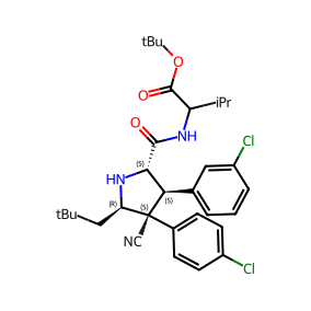 CC(C)C(NC(=O)[C@H]1N[C@H](CC(C)(C)C)[C@@](C#N)(c2ccc(Cl)cc2)[C@@H]1c1cccc(Cl)c1)C(=O)OC(C)(C)C